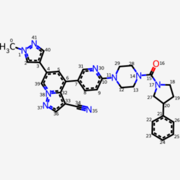 Cn1cc(-c2cc(-c3ccc(N4CCN(C(=O)N5CCC(c6ccccc6)C5)CC4)nc3)c3c(C#N)cnn3c2)cn1